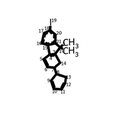 CC1(C)C2=C(C=CC(C3C=CC=CC3)C2)c2ccc(I)cc21